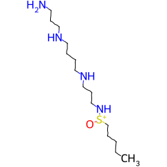 CCCCC[S+]([O-])NCCCNCCCCNCCCN